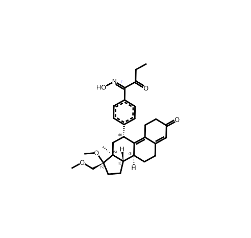 CCC(=O)/C(=N/O)c1ccc([C@H]2C[C@@]3(C)[C@@H](CC[C@]3(COC)OC)[C@@H]3CCC4=CC(=O)CCC4=C32)cc1